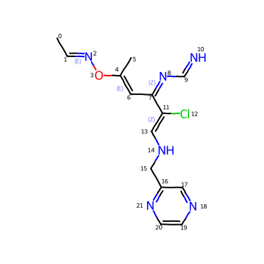 C/C=N/O/C(C)=C/C(=N/C=N)C(/Cl)=C/NCc1cnccn1